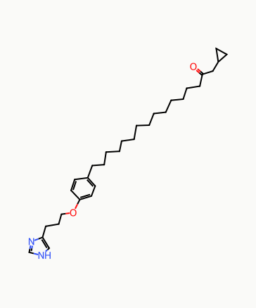 O=C(CCCCCCCCCCCCCCc1ccc(OCCCc2c[nH]cn2)cc1)CC1CC1